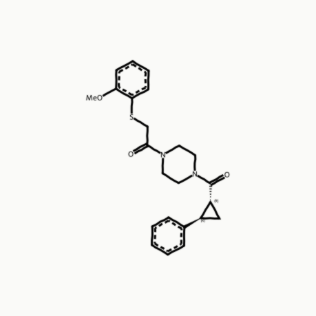 COc1ccccc1SCC(=O)N1CCN(C(=O)[C@@H]2C[C@H]2c2ccccc2)CC1